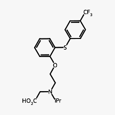 CC(C)N(CCOc1ccccc1Sc1ccc(C(F)(F)F)cc1)CC(=O)O